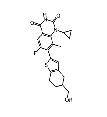 Cc1c(-c2cc3c(s2)CCC(CO)C3)c(F)cc2c(=O)[nH]c(=O)n(C3CC3)c12